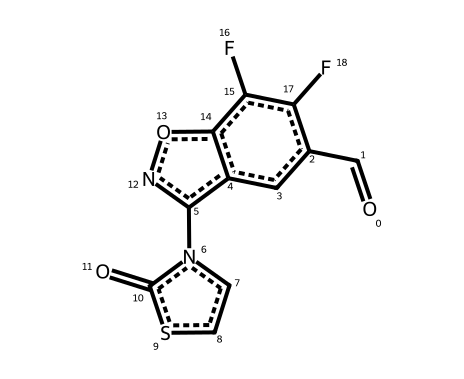 O=Cc1cc2c(-n3ccsc3=O)noc2c(F)c1F